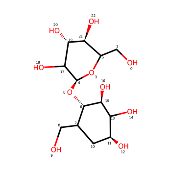 OCC1O[C@@H](O[C@H]2C(CO)C[C@H](O)C(O)[C@@H]2O)C(O)[C@H](O)[C@H]1O